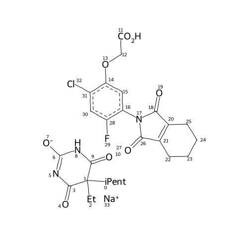 CCCC(C)C1(CC)C(=O)N=C([O-])NC1=O.O=C(O)COc1cc(N2C(=O)C3=C(CCCC3)C2=O)c(F)cc1Cl.[Na+]